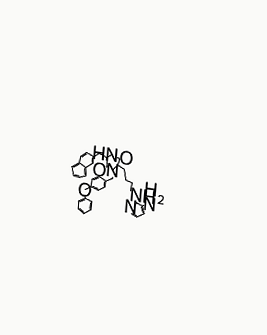 Nc1cccnc1NCCCCC1C(=O)NC(Cc2ccc3ccccc3c2)C(=O)N1Cc1ccc(Oc2ccccc2)cc1